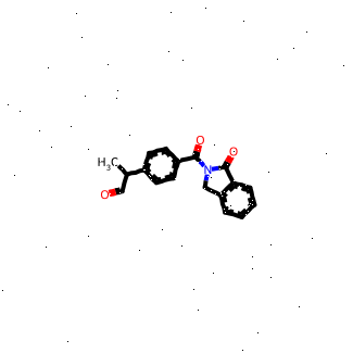 CC(C=O)c1ccc(C(=O)N2Cc3ccccc3C2=O)cc1